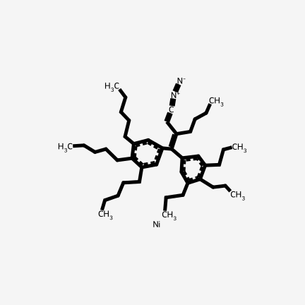 CCCCCc1cc(C(=C(C=C=[N+]=[N-])CCCC)c2cc(CCC)c(CCC)c(CCC)c2)cc(CCCCC)c1CCCCC.[Ni]